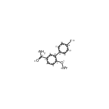 CCCOc1ccc(C(N)=O)cc1-c1ccc(F)cc1